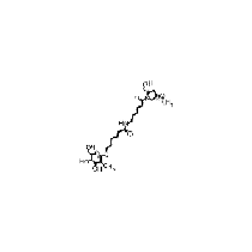 CO[C@@H]1C[C@@H](CO)N(C(=O)CCCCCNC(=O)CCCCCO[C@@H]2OC(CO)[C@H](O)[C@H](O)C2C)C1